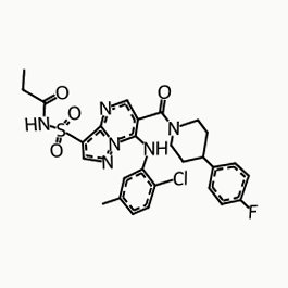 CCC(=O)NS(=O)(=O)c1cnn2c(Nc3cc(C)ccc3Cl)c(C(=O)N3CCC(c4ccc(F)cc4)CC3)cnc12